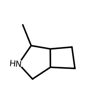 CC1NCC2CCC21